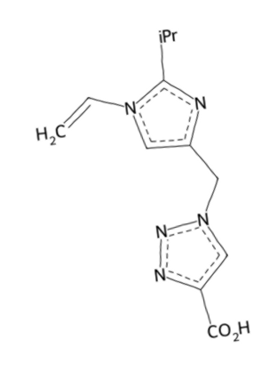 C=Cn1cc(Cn2cc(C(=O)O)nn2)nc1C(C)C